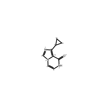 O=c1[nH]ccn2cnc(C3CC3)c12